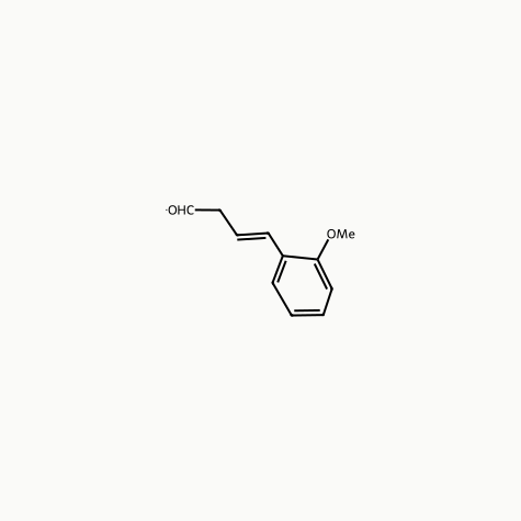 COc1ccccc1/C=C/C[C]=O